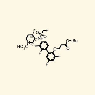 CC(C)(C)OC(=O)CCOc1c(F)cc(F)cc1-c1cccc(C[C@H]2[C@@H](NS(=O)(=O)CF)[C@@H](F)CCN2C(=O)O)c1F